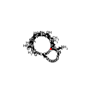 CC(C)C[C@@H]1NC(=O)[C@@H]2CCCN2C(=O)[C@@H]2CSCc3cc(cc(c3)OCCCCCCO/N=C/C(=O)N[C@@H](CCCCN)C(=O)N2)CSC[C@@H](C(N)=O)NC(=O)[C@H](CCC(=O)O)NC(=O)[C@H]([C@@H](C)O)NC(=O)[C@@H]2CCCN2C(=O)[C@H]([C@@H](C)O)NC(=O)[C@H](CC(=O)O)NC1=O